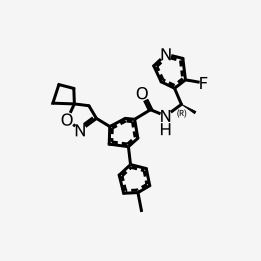 Cc1ccc(-c2cc(C(=O)N[C@H](C)c3ccncc3F)cc(C3=NOC4(CCC4)C3)c2)cc1